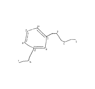 CCCc1[c]c(CC)c[c]c1